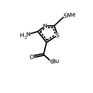 CSc1nc(N)c(C(=O)C(C)(C)C)s1